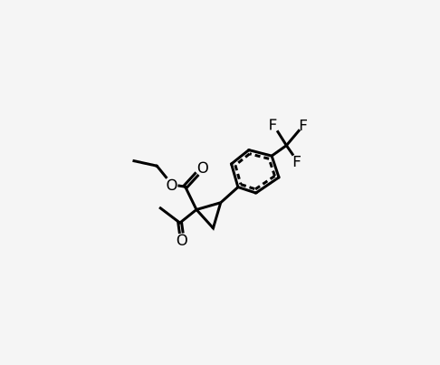 CCOC(=O)C1(C(C)=O)CC1c1ccc(C(F)(F)F)cc1